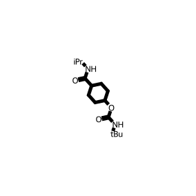 CC(C)NC(=O)C1CCC(OC(=O)NC(C)(C)C)CC1